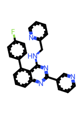 Fc1ccc(-c2cccc3nc(-c4cccnc4)nc(NCc4ccccn4)c23)cc1